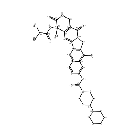 CCc1c2c(nc3ccc(OC(=O)N4CCC(N5CCCCC5)CC4)cc13)-c1cc3c(c(=O)n1C2)COC(=O)[C@@]3(CC)OC(=O)C(CC)C(C)C